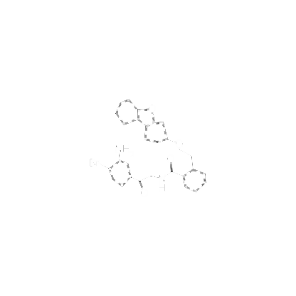 Nc1cc(C(=O)CNC(=O)c2ccccc2CCOc2ccc3c(c2)oc2ccccc23)ccc1Br